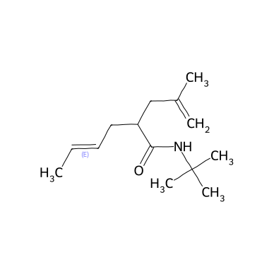 C=C(C)CC(C/C=C/C)C(=O)NC(C)(C)C